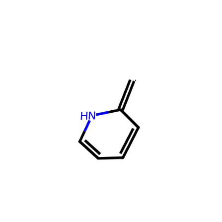 [CH]=C1C=CC=CN1